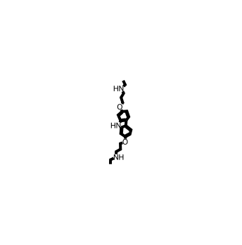 CCNCCCOc1ccc2c(c1)[nH]c1cc(OCCCNCC)ccc12